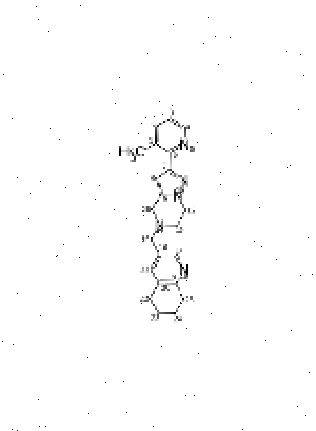 Cc1cccnc1-c1cc2n(n1)CCN(Cc1cnc3c(c1)CCCC3)C2